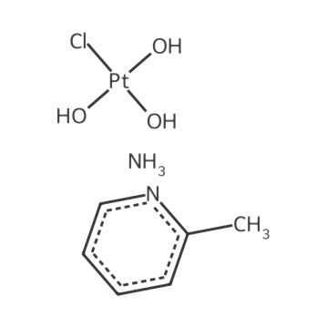 Cc1ccccn1.N.[OH][Pt]([OH])([OH])[Cl]